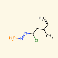 C=CC(C)CC(Cl)N=NP